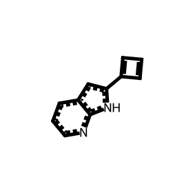 C1=CC(c2cc3cccnc3[nH]2)=C1